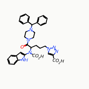 O=C(O)c1cn(CCCC(C(=O)N2CCN(C(c3ccccc3)c3ccccc3)CC2)N(C(=O)O)c2cc3ccccc3[nH]2)nn1